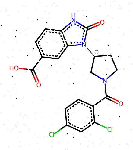 O=C(O)c1ccc2[nH]c(=O)n([C@@H]3CCN(C(=O)c4ccc(Cl)cc4Cl)C3)c2c1